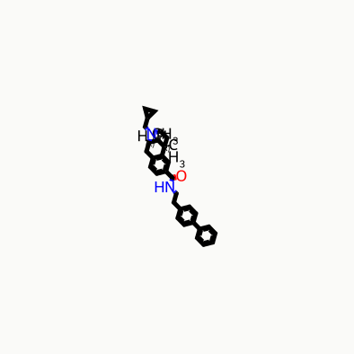 C[C@@H]1[C@H]2Cc3ccc(C(=O)NCCc4ccc(-c5ccccc5)cc4)cc3[C@]1(C)CCN2CC1CC1